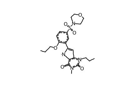 CCCOc1ccc(S(=O)(=O)N2CCOCC2)cc1C1=Cc2c(c(=O)n(C)c(=O)n2CCC)[N]1